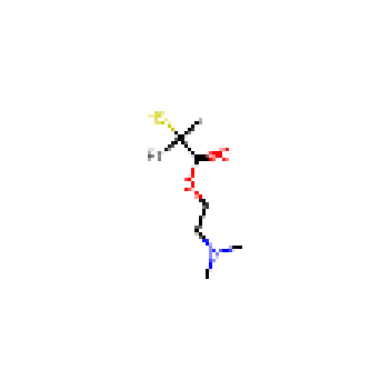 CCC(C)(S)C(=O)OCCN(C)C